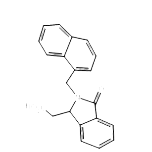 O=C(O)CC1c2ccccc2C(=O)N1Cc1cccc2ccccc12